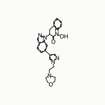 O=C(NO)C(Cc1ccccc1)n1ncc2ccc(-c3cnn(CCN4CCOCC4)c3)cc21